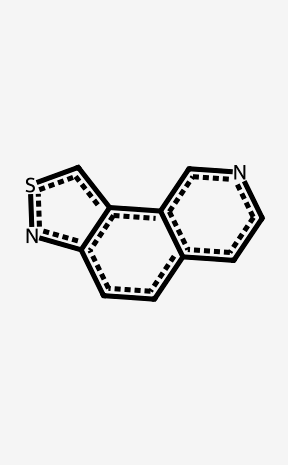 c1cc2ccc3nscc3c2cn1